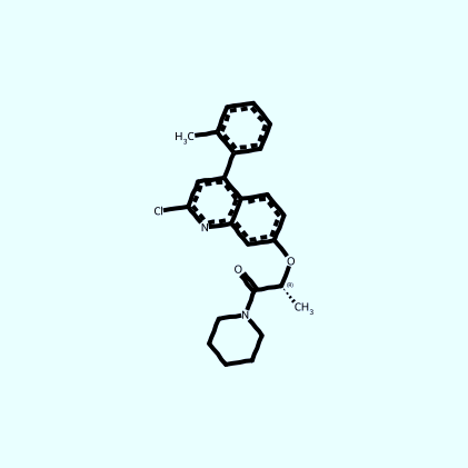 Cc1ccccc1-c1cc(Cl)nc2cc(O[C@H](C)C(=O)N3CCCCC3)ccc12